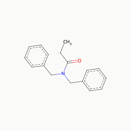 C[CH]C(=O)N(Cc1ccccc1)Cc1ccccc1